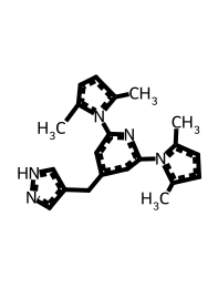 Cc1ccc(C)n1-c1cc(Cc2cn[nH]c2)cc(-n2c(C)ccc2C)n1